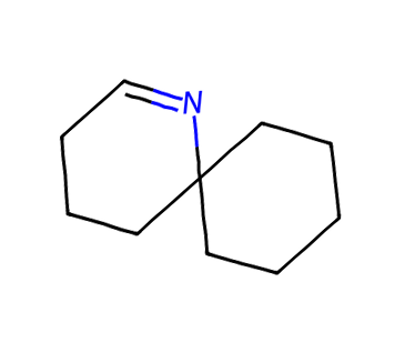 C1=NC2(CCC1)CCCCC2